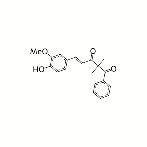 COc1cc(C=CC(=O)C(C)(C)C(=O)c2ccccc2)ccc1O